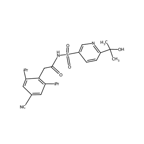 CC(C)c1cc(C#N)cc(C(C)C)c1CC(=O)NS(=O)(=O)c1ccc(C(C)(C)O)nc1